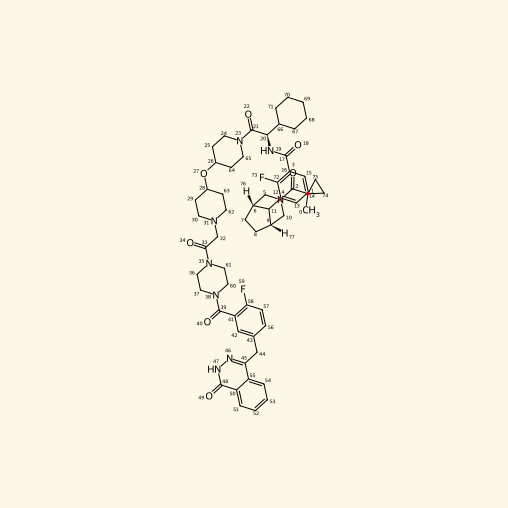 CC1(C(=O)N2C[C@H]3CC[C@@H](C2)C3c2cccc(C(=O)N[C@@H](C(=O)N3CCC(OC4CCN(CC(=O)N5CCN(C(=O)c6cc(Cc7n[nH]c(=O)c8ccccc78)ccc6F)CC5)CC4)CC3)C3CCCCC3)c2F)CC1